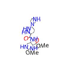 COC(=O)C1NC(OC)NCC1NC(=O)C1CCC(N2CCNC2)NN1